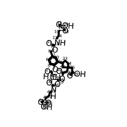 CC(=O)Oc1ccc(COC(=O)NCCCS(=O)(=O)O)cc1C1CCC(CC(=O)O)(CC(=O)OC(C)OC(=O)NCCCS(=O)(=O)O)C1